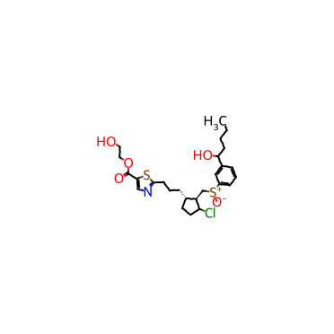 CCCCC(O)c1cccc([S+]([O-])C[C@H]2C(Cl)CC[C@@H]2CCCc2ncc(C(=O)OCCO)s2)c1